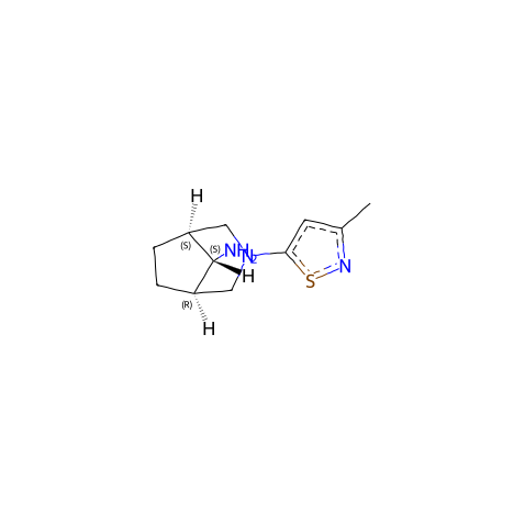 Cc1cc(N2C[C@H]3CC[C@@H](C2)[C@@H]3N)sn1